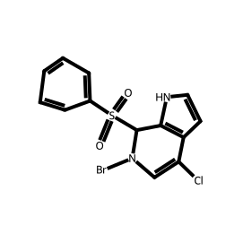 O=S(=O)(c1ccccc1)C1c2[nH]ccc2C(Cl)=CN1Br